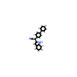 N#CC(c1ccc(-c2ccccc2)cc1)c1cc2ccccc2[nH]1